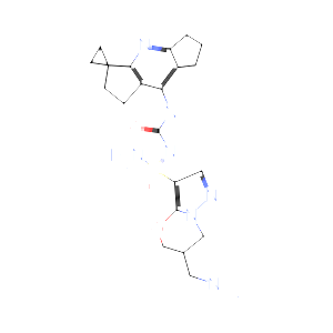 NCC1COc2c(S(N)(=O)=NC(=O)Nc3c4c(nc5c3CCC53CC3)CCC4)cnn2C1